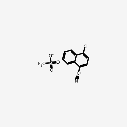 N#[N+]c1ccc(Cl)c2ccccc12.O=S(=O)([O-])C(F)(F)F